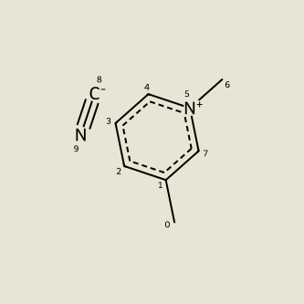 Cc1ccc[n+](C)c1.[C-]#N